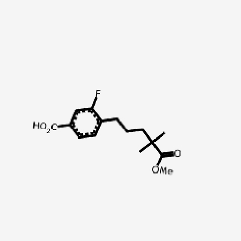 COC(=O)C(C)(C)CCCc1ccc(C(=O)O)cc1F